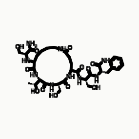 C[C@@H](O)[C@@H]1NC(=O)C(N[C@@H](CO)C(N)=O)CCCCNC(=O)CCC(C(=O)N[C@@H](CO)C(=O)N[C@@H](Cc2ccccc2)C(N)=O)NC(=O)[C@H](CO)NC1=O